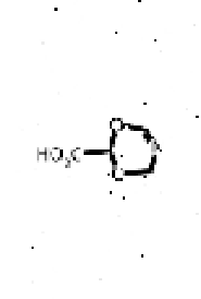 O=C(O)C1OC=NCO1